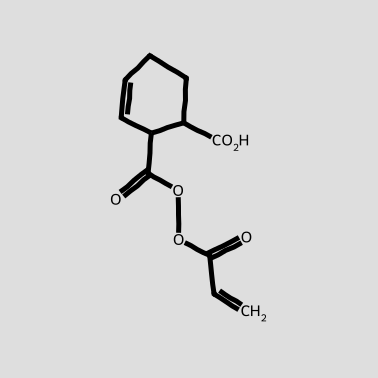 C=CC(=O)OOC(=O)C1C=CCCC1C(=O)O